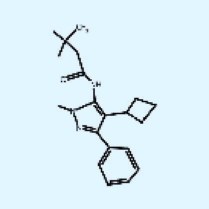 Cn1nc(-c2ccccc2)c(C2CCC2)c1NC(=O)CC(C)(C)C(F)(F)F